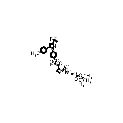 Cc1ccc(-c2cc(C(F)(F)F)nn2-c2ccc(S(=O)(=O)NC(=O)[C@@H]3CCN3/[N+]([O-])=N/OCOC(=O)OC(C)(C)C)cc2)cc1